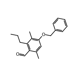 CCCc1c(C)c(OCc2ccccc2)cc(C)c1C=O